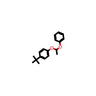 CC(Oc1ccccc1)Oc1ccc(C(C)(C)C)cc1